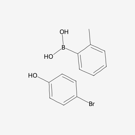 Cc1ccccc1B(O)O.Oc1ccc(Br)cc1